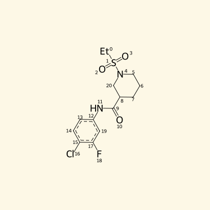 CCS(=O)(=O)N1CCCC(C(=O)Nc2ccc(Cl)c(F)c2)C1